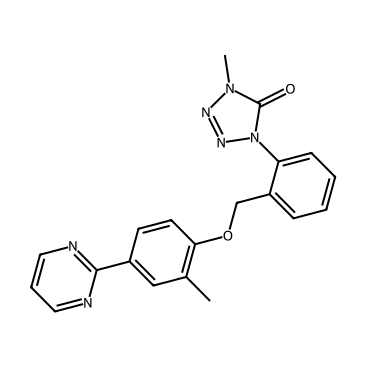 Cc1cc(-c2ncccn2)ccc1OCc1ccccc1-n1nnn(C)c1=O